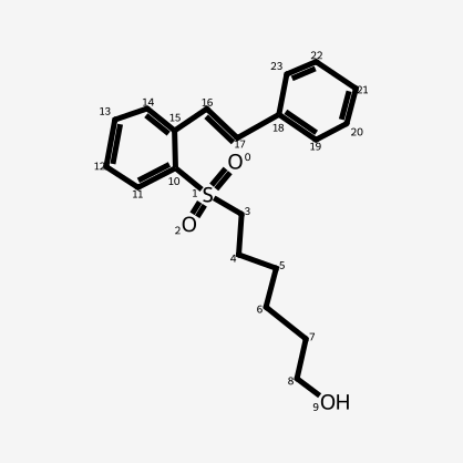 O=S(=O)(CCCCCCO)c1ccccc1C=Cc1ccccc1